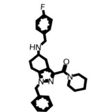 O=C(c1nn(Cc2ccccc2)c2c1CC(NCc1ccc(F)cc1)CC2)N1CCCCC1